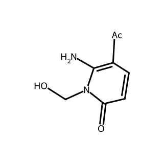 CC(=O)c1ccc(=O)n(CO)c1N